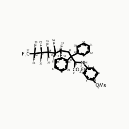 CCOC(=O)C(Nc1ccc(OC)cc1)C(CC(F)(F)C(F)(F)C(F)(F)C(F)(F)C(F)(F)C(F)(F)F)(c1ccccc1)c1ccccc1